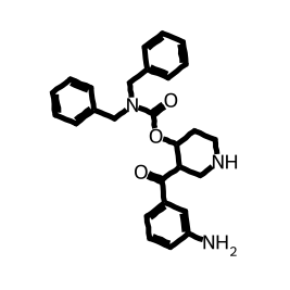 Nc1cccc(C(=O)C2CNCCC2OC(=O)N(Cc2ccccc2)Cc2ccccc2)c1